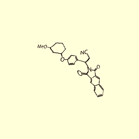 COC1CCCC(Oc2ccc(C(CC#N)N3C(=O)c4cc5ccccc5cc4C3=O)cc2)C1